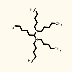 BCCCCC(N(CCCCC)CCCCC)N(CCCCC)CCCCC